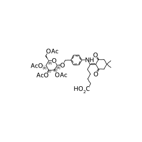 CC(=O)OC[C@H]1O[C@@H](OCc2ccc(NC(CCCCC(=O)O)=C3C(=O)CC(C)(C)CC3=O)cc2)[C@H](OC(C)=O)[C@@H](OC(C)=O)[C@@H]1OC(C)=O